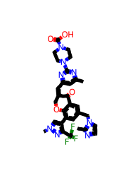 Cc1cc(C=C2COc3c(cc(Cn4ccnc4C)cc3-c3cn(C)nc3C(F)(F)F)C2=O)nc(N2CCN(C(=O)O)CC2)n1